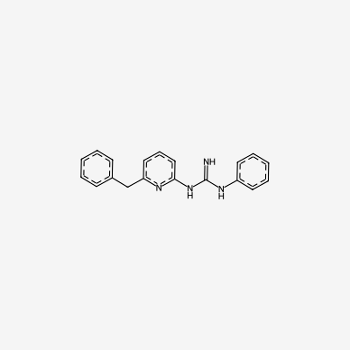 N=C(Nc1ccccc1)Nc1cccc(Cc2ccccc2)n1